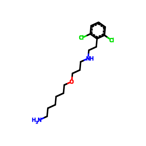 NCCCCCCOCCCNCCc1c(Cl)cccc1Cl